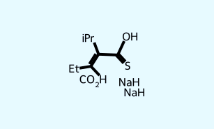 CC/C(C(=O)O)=C(/C(O)=S)C(C)C.[NaH].[NaH]